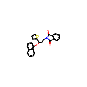 O=C1c2ccccc2C(=O)N1CCC(Oc1cccc2ccccc12)c1cccs1